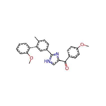 COc1ccc(C(=O)c2c[nH]c(-c3ccc(C)c(-c4ccccc4OC)c3)n2)cc1